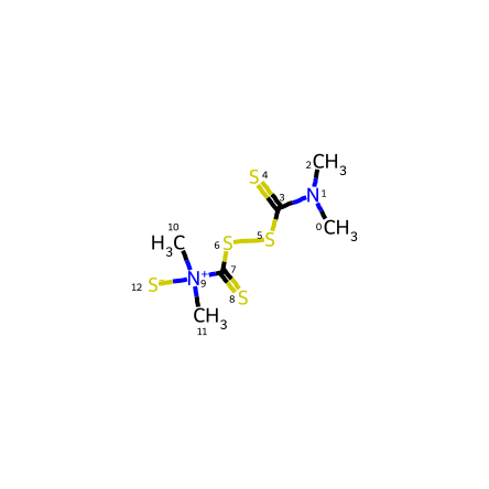 CN(C)C(=S)SSC(=S)[N+](C)(C)[S-]